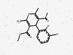 COC(=O)C1=C(N)OC(C)=C(C(C)=O)C1c1cccc(Cl)c1Cl